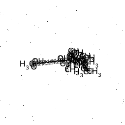 CCCCCC(CCCC(O)C(O)CCCCCCCCCCCCCC(O)C(C)=O)OC1OCC(C)C(O)C1OC1OCC(C)C(O)C1OC1OC(COC(=O)CC(C)C)C(C)C(O)C1C